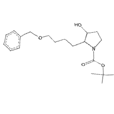 CC(C)(C)OC(=O)N1CCC(O)C1CCCCOCc1ccccc1